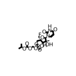 CC(C)OC(=O)OCOP1(=O)OC[C@@]2(CF)O[C@@H](n3ccc(=O)[nH]c3=O)[C@](C)(O)[C@@H]2O1